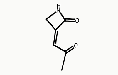 CC(=O)/C=C1/CNC1=O